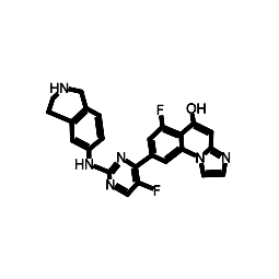 Oc1cc2nccn2c2cc(-c3nc(Nc4ccc5c(c4)CCNC5)ncc3F)cc(F)c12